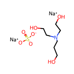 O=S(=O)([O-])[O-].OCCCN(CCO)CCO.[Na+].[Na+]